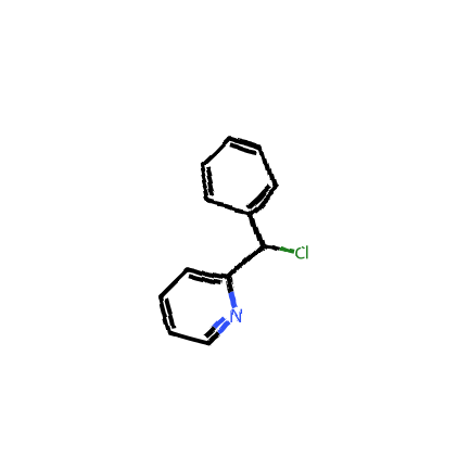 Cl[C](c1ccccc1)c1ccccn1